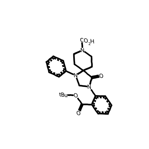 CC(C)(C)OC(=O)c1ccccc1N1CN(c2ccccc2)C2(CCN(C(=O)O)CC2)C1=O